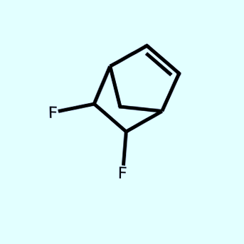 FC1C2C=CC(C2)C1F